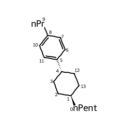 CCCCC[C@H]1CC[C@H](c2ccc(CCC)cc2)CC1